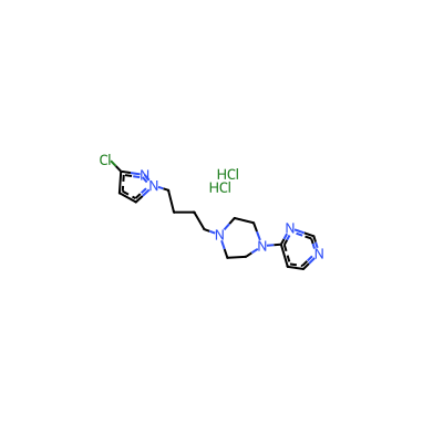 Cl.Cl.Clc1ccn(CCCCN2CCN(c3ccncn3)CC2)n1